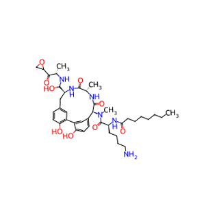 CCCCCCCC(=O)N[C@@H](CCCCN)C(=O)N(C)[C@@H]1C(=O)N[C@@H](C)C(=O)N[C@H](C(O)N[C@@H](C)C(=O)C2CO2)Cc2ccc(O)c(c2)-c2cc1ccc2O